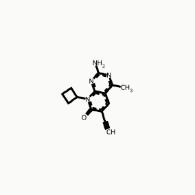 C#Cc1cc2c(C)nc(N)nc2n(C2CCC2)c1=O